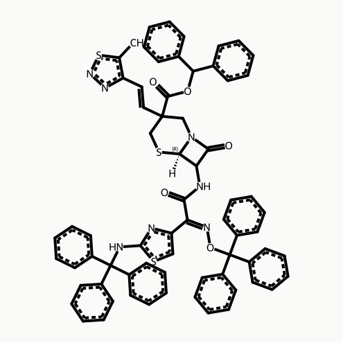 Cc1snnc1C=CC1(C(=O)OC(c2ccccc2)c2ccccc2)CS[C@@H]2C(NC(=O)C(=NOC(c3ccccc3)(c3ccccc3)c3ccccc3)c3csc(NC(c4ccccc4)(c4ccccc4)c4ccccc4)n3)C(=O)N2C1